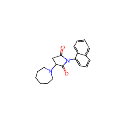 O=C1CC(N2CCCCCC2)C(=O)N1c1cccc2ccccc12